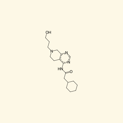 O=C(CC1CCCCC1)Nc1ncnc2c1CCN(CCCO)C2